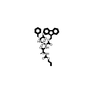 C=CCOC(=O)N[C@@H](C)C(=O)NN(C(=O)OCC1c2ccccc2-c2ccccc21)S(=O)(=O)N[C@H](Cc1ccccc1)C(=O)O